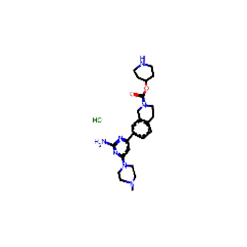 CN1CCN(c2cc(-c3ccc4c(c3)CN(C(=O)OC3CCNCC3)CC4)nc(N)n2)CC1.Cl